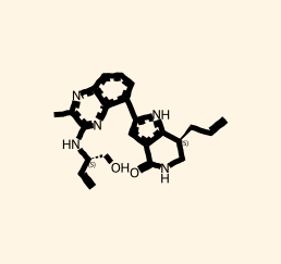 C=CC[C@H]1CNC(=O)c2cc(-c3cccc4nc(C)c(N[C@@H](C=C)CO)nc34)[nH]c21